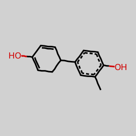 Cc1cc(C2C=CC(O)=CC2)ccc1O